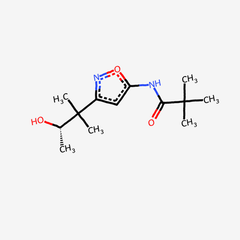 C[C@H](O)C(C)(C)c1cc(NC(=O)C(C)(C)C)on1